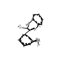 CCNc1ccccc1C1=Nc2ccccc2NC1C